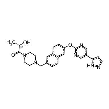 C[C@H](O)C(=O)N1CCN(Cc2ccc3cc(Oc4ncc(-c5ccn[nH]5)cn4)ccc3c2)CC1